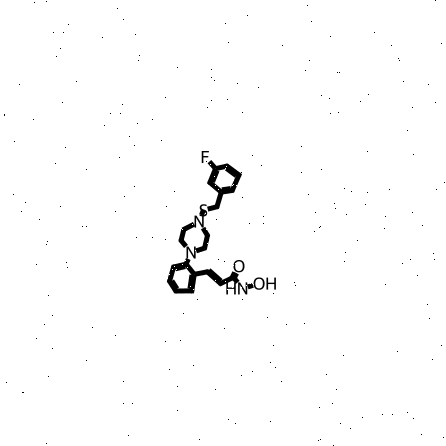 O=C(/C=C/c1ccccc1N1CCN(SCc2cccc(F)c2)CC1)NO